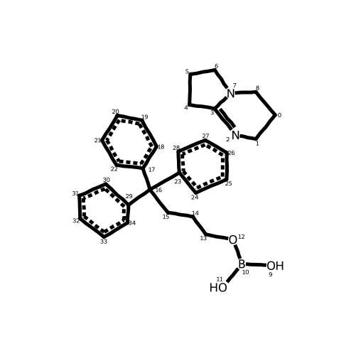 C1CN=C2CCCN2C1.OB(O)OCCCC(c1ccccc1)(c1ccccc1)c1ccccc1